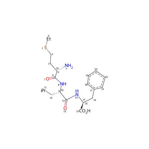 CCSCC[C@H](N)C(=O)N[C@@H](CC(C)C)C(=O)N[C@@H](Cc1ccccc1)C(=O)O